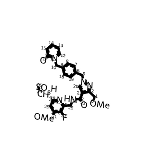 COCc1nn(Cc2ccc(Cn3ccccc3=O)cc2)cc1C(=O)NCc1nccc(OC)c1F.CS(=O)(=O)O